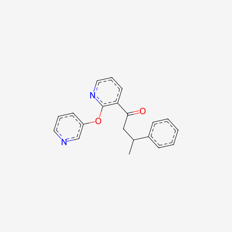 CC(CC(=O)c1cccnc1Oc1cccnc1)c1ccccc1